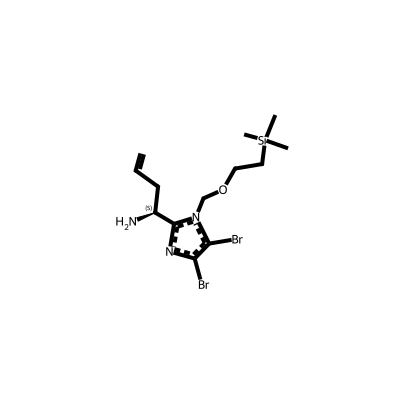 C=CC[C@H](N)c1nc(Br)c(Br)n1COCC[Si](C)(C)C